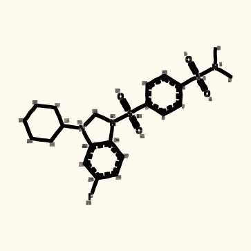 CN(C)S(=O)(=O)c1ccc(S(=O)(=O)N2CN(C3CCCCC3)c3cc(F)ccc32)cc1